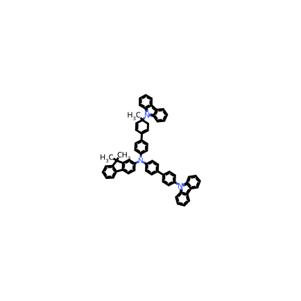 CC1(C)c2ccccc2-c2ccc(N(c3ccc(C4=CCC(C)(n5c6ccccc6c6ccccc65)C=C4)cc3)c3ccc(-c4ccc(-n5c6ccccc6c6ccccc65)cc4)cc3)cc21